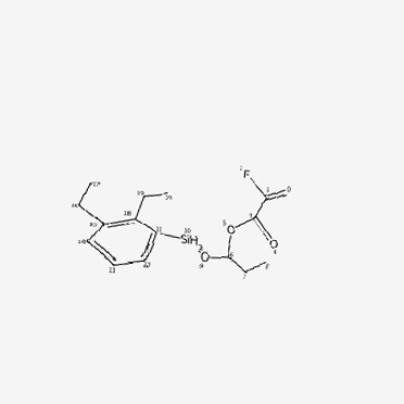 C=C(F)C(=O)OC(CC)O[SiH2]c1cccc(CC)c1CC